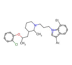 CCc1cccc2c(C(C)=O)cn(CCCN3CCCC(CC(C)Oc4ccccc4Cl)C3C)c12